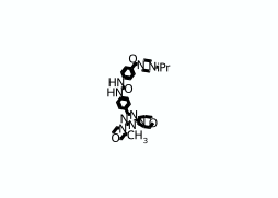 CC(C)N1CCN(C(=O)c2ccc(NC(=O)Nc3ccc(-c4nc(N5CCOCC5C)nc(N5C6CCC5COC6)n4)cc3)cc2)CC1